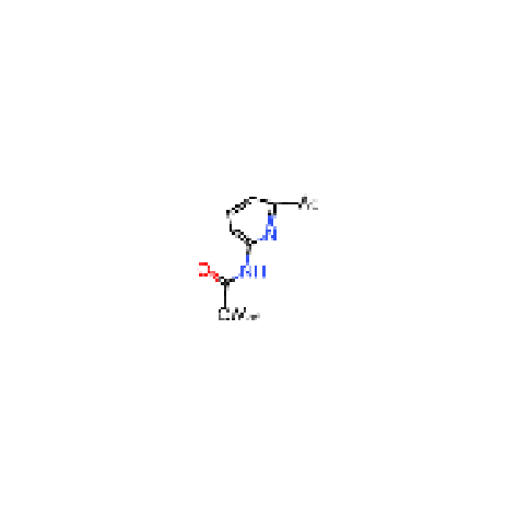 COC(=O)Nc1cccc(C(C)=O)n1